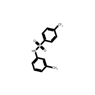 Cc1cccc(NS(=O)(=O)c2ccc(C(F)(F)F)cc2)c1